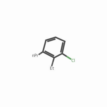 CCCc1cccc(Cl)c1CC